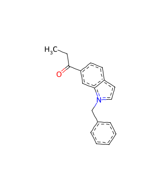 CCC(=O)c1ccc2ccn(Cc3ccccc3)c2c1